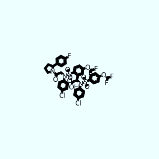 O=C(O)C(c1cc(OC(F)F)ccc1S(=O)(=O)N(CC(=O)N1CCCC1c1ccc(F)cc1)c1ccc(Cl)cc1)N(c1ccc(Cl)cc1)S(=O)(=O)c1ccc(OC(F)F)cc1